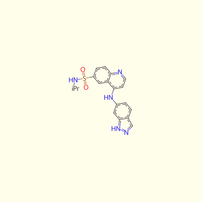 CC(C)NS(=O)(=O)c1ccc2nccc(Nc3ccc4cn[nH]c4c3)c2c1